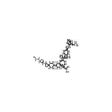 CCCCOCCOc1ccc(-c2ccc3c(c2)C=C(C(=O)Nc2ccc(SCc4cncn4CCC)cc2)CCN3CC(C)C)cc1